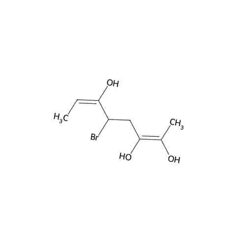 C/C=C(/O)C(Br)C/C(O)=C(\C)O